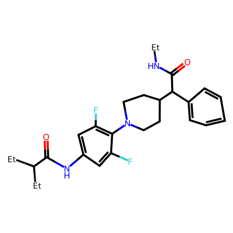 CCNC(=O)C(c1ccccc1)C1CCN(c2c(F)cc(NC(=O)C(CC)CC)cc2F)CC1